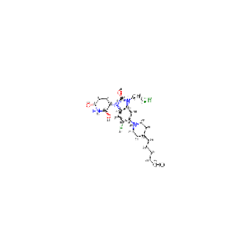 Cl.Cn1c(=O)n(C2CCC(=O)NC2=O)c2cc(F)c(N3CCC(CCCCC=O)CC3)cc21